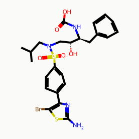 CC(C)CN(C[C@@H](O)[C@H](Cc1ccccc1)NC(=O)O)S(=O)(=O)c1ccc(-c2nc(N)sc2Br)cc1